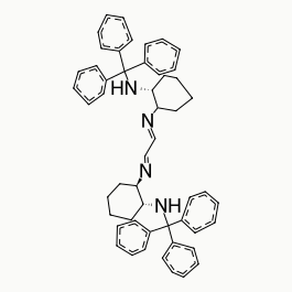 C(/C=N/[C@@H]1CCCC[C@H]1NC(c1ccccc1)(c1ccccc1)c1ccccc1)=N\C1CCCC[C@H]1NC(c1ccccc1)(c1ccccc1)c1ccccc1